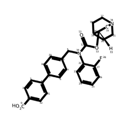 O=C(O)c1ccc(-c2ccc(CN(C(=O)O[C@H]3CN4CCC3CC4)c3ccccc3F)cc2)cc1